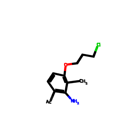 CC(=O)c1ccc(OCCCCl)c(C)c1N